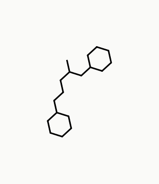 CC(CCCC1CCCCC1)CC1CCCCC1